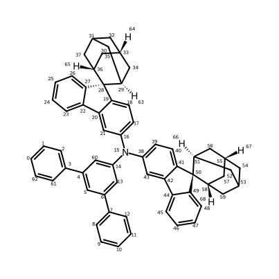 c1ccc(-c2cc(-c3ccccc3)cc(N(c3ccc4c(c3)-c3ccccc3[C@]43[C@H]4CC5C[C@H](C4)C[C@H]3C5)c3ccc4c(c3)-c3ccccc3[C@]43[C@@H]4CC5C[C@@H](C4)C[C@@H]3C5)c2)cc1